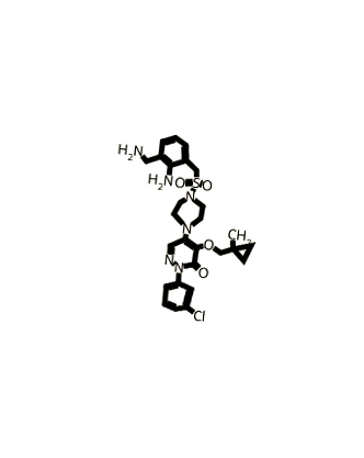 CC1(COc2c(N3CCN(S(=O)(=O)Cc4cccc(CN)c4N)CC3)cnn(-c3cccc(Cl)c3)c2=O)CC1